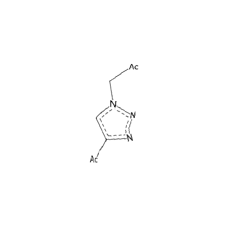 CC(=O)Cn1cc(C(C)=O)nn1